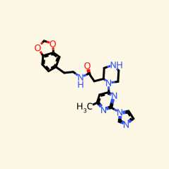 Cc1cc(N2CCNCC2CC(=O)NCCc2ccc3c(c2)OCO3)nc(-n2ccnc2)n1